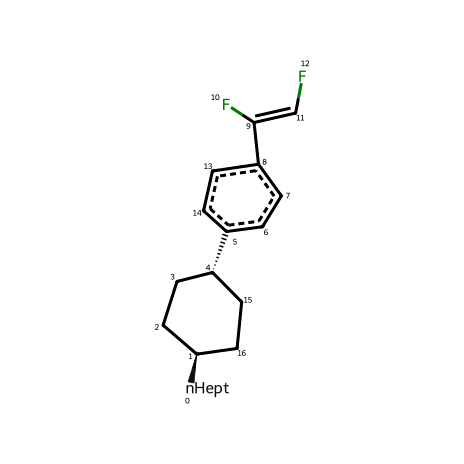 CCCCCCC[C@H]1CC[C@H](c2ccc(C(F)=CF)cc2)CC1